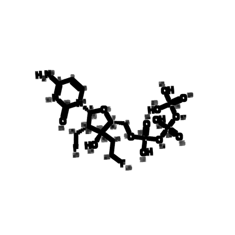 Nc1ccn([C@@H]2O[C@H](COP(=O)(O)OP(=O)(O)OP(=O)(O)O)[C@](O)(CCF)[C@@H]2CF)c(=O)n1